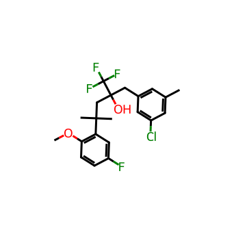 COc1ccc(F)cc1C(C)(C)CC(O)(Cc1cc(C)cc(Cl)c1)C(F)(F)F